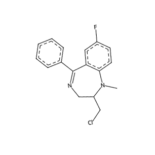 CN1c2ccc(F)cc2C(c2ccccc2)=NCC1CCl